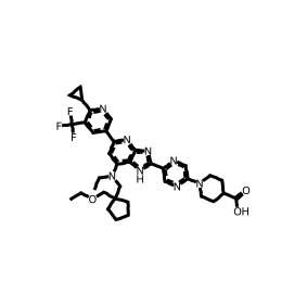 CCOCC1(CN(CC)c2cc(-c3cnc(C4CC4)c(C(F)(F)F)c3)nc3nc(-c4cnc(N5CCC(C(=O)O)CC5)cn4)[nH]c23)CCCC1